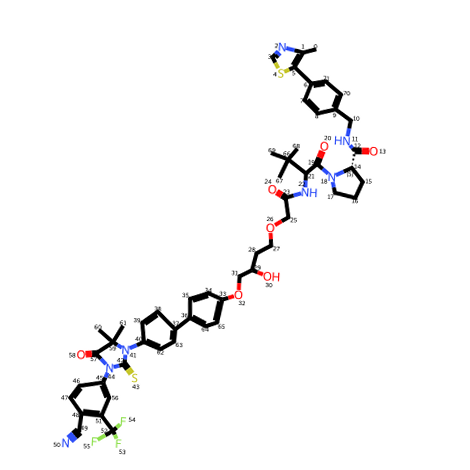 Cc1ncsc1-c1ccc(CNC(=O)[C@@H]2CCCN2C(=O)C(NC(=O)COCCC(O)COc2ccc(-c3ccc(N4C(=S)N(c5ccc(C#N)c(C(F)(F)F)c5)C(=O)C4(C)C)cc3)cc2)C(C)(C)C)cc1